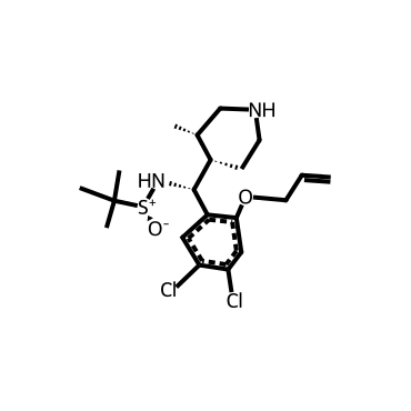 C=CCOc1cc(Cl)c(Cl)cc1[C@H](N[S@@+]([O-])C(C)(C)C)[C@H]1CCNC[C@H]1C